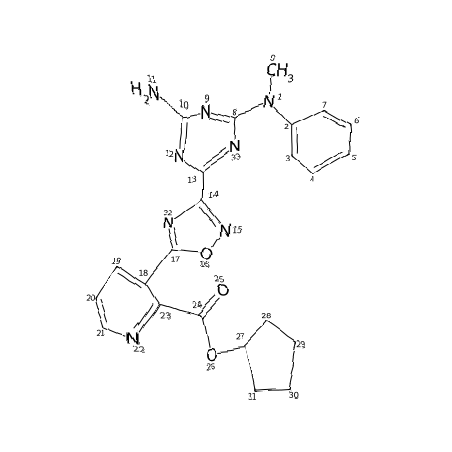 CN(c1ccccc1)c1nc(N)nc(-c2noc(-c3cccnc3C(=O)OC3CCCC3)n2)n1